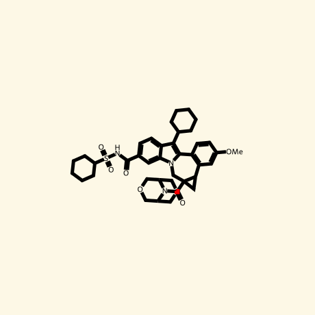 COc1ccc2c(c1)C1CC1(C(=O)N1C3COCC1COC3)Cn1c-2c(C2CCCCC2)c2ccc(C(=O)NS(=O)(=O)C3CCCCC3)cc21